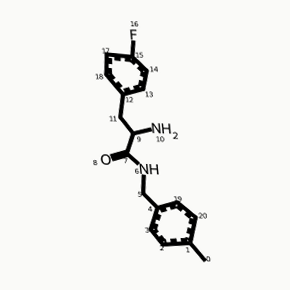 Cc1ccc(CNC(=O)C(N)Cc2ccc(F)cc2)cc1